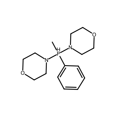 C[PH](c1ccccc1)(N1CCOCC1)N1CCOCC1